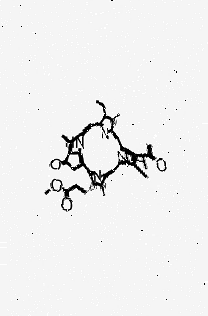 CCC1c2cc3[nH]c4c(c5nc(cc6[nH]c(cc(n2)[C@@H]1C)c(C(C)=O)c6C)[C@@H](C)[C@@H]5CCC(=O)OC)CC(=O)c4c3C